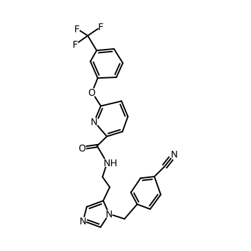 N#Cc1ccc(Cn2cncc2CCNC(=O)c2cccc(Oc3cccc(C(F)(F)F)c3)n2)cc1